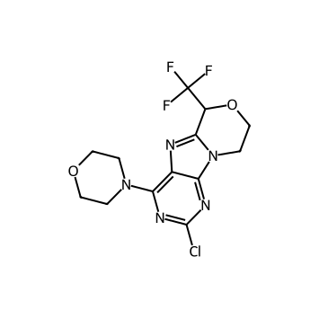 FC(F)(F)C1OCCn2c1nc1c(N3CCOCC3)nc(Cl)nc12